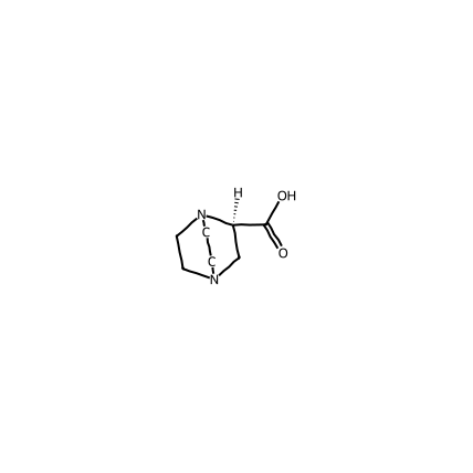 O=C(O)[C@H]1CN2CCN1CC2